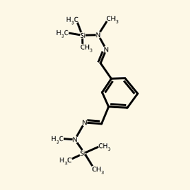 CN(N=Cc1cccc(C=NN(C)[Si](C)(C)C)c1)[Si](C)(C)C